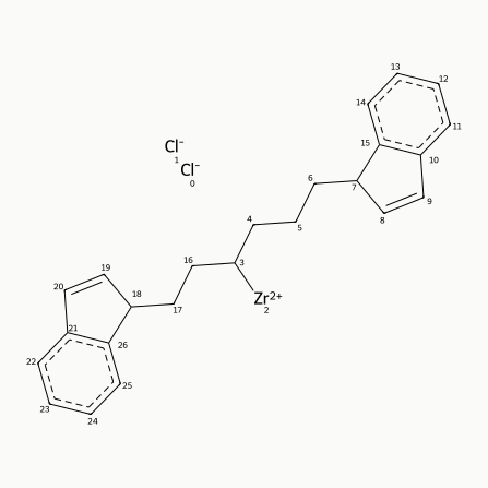 [Cl-].[Cl-].[Zr+2][CH](CCCC1C=Cc2ccccc21)CCC1C=Cc2ccccc21